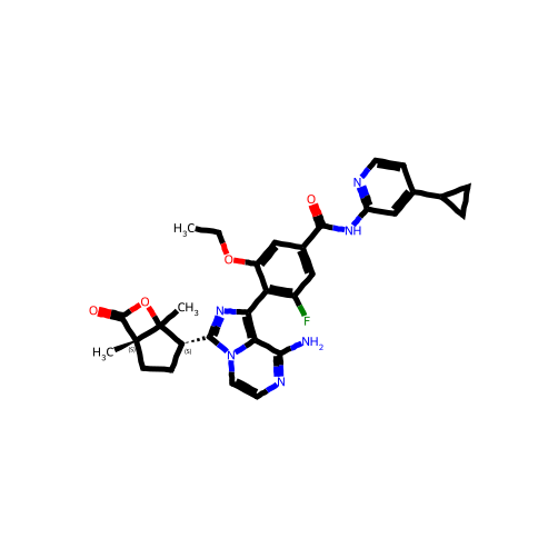 CCOc1cc(C(=O)Nc2cc(C3CC3)ccn2)cc(F)c1-c1nc([C@@H]2CC[C@]3(C)C(=O)OC23C)n2ccnc(N)c12